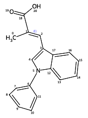 C/C(=C\c1cn(-c2ccccc2)c2ccccc12)C(=O)O